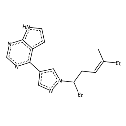 CC/C(C)=C/CC(CC)n1cc(-c2ncnc3[nH]ccc23)cn1